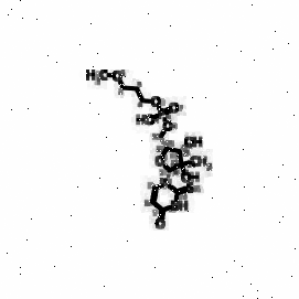 COCCCOP(=O)(O)OC[C@H]1O[C@@H](n2ccc(=O)[nH]c2=S)C(C)(O)[C@H]1O